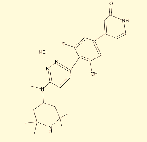 CN(c1ccc(-c2c(O)cc(-c3cc[nH]c(=O)c3)cc2F)nn1)C1CC(C)(C)NC(C)(C)C1.Cl